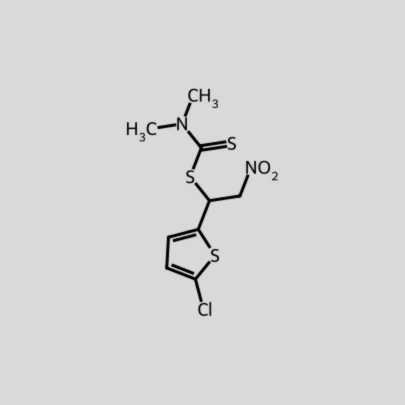 CN(C)C(=S)SC(C[N+](=O)[O-])c1ccc(Cl)s1